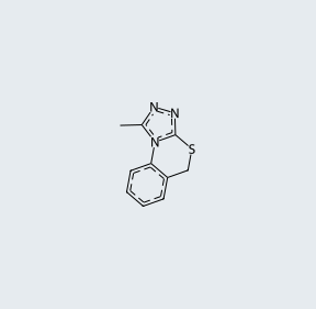 Cc1nnc2n1-c1ccccc1CS2